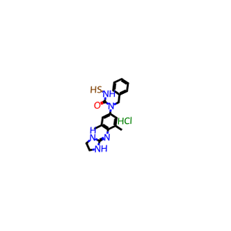 Cc1cc(N(Cc2ccccc2)C(=O)NS)cc(C)c1N=C1NCCN1.Cl